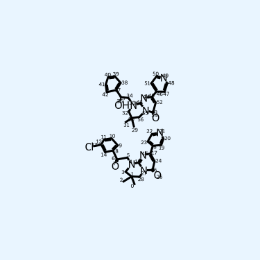 CC1(C)CN(CC(=O)c2cccc(Cl)c2)c2nc(-c3ccncc3)cc(=O)n2C1.CC1(C)CN(C[C@@H](O)c2ccccc2)c2nc(-c3ccncc3)cc(=O)n2C1